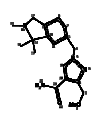 COCc1nn(Cc2ccc3c(c2)C(C)(C)N(C)C3)cc1C(N)=O